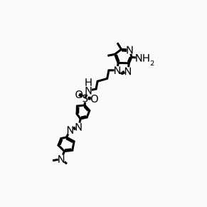 Cc1nc(N)c2ncn(CCCCNS(=O)(=O)c3ccc(/N=N/c4ccc(N(C)C)cc4)cc3)c2c1C